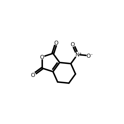 O=C1OC(=O)C2=C1CCCC2[N+](=O)[O-]